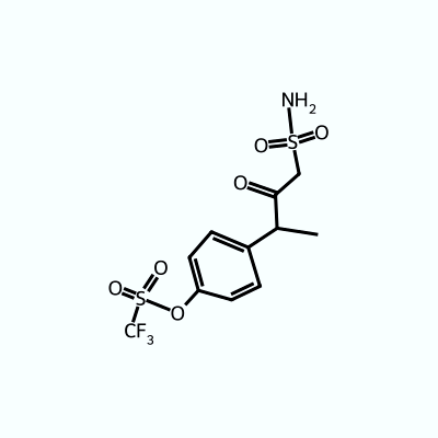 CC(C(=O)CS(N)(=O)=O)c1ccc(OS(=O)(=O)C(F)(F)F)cc1